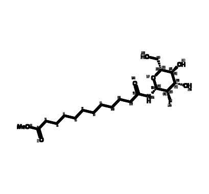 COC(=O)CCCCCCCCCCC(=O)N[C@@H]1O[C@H](CO)[C@@H](O)[C@H](O)[C@H]1F